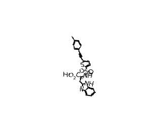 Cc1ccc(C#Cc2ccc(S(=O)(=O)N[C@@H](Cc3nc4ccccc4[nH]3)C(=O)O)s2)cc1